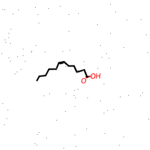 CCCCC/C=C\CCCCC(=O)O